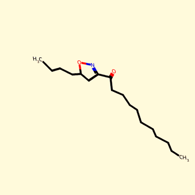 CCCCCCCCCCC(=O)C1=NOC(CCCC)C1